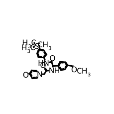 COCc1ccc(C(NC(=O)Cn2ccc(=O)cc2)C(=O)Nc2ccc([Si](C)(C)C)cc2)cc1